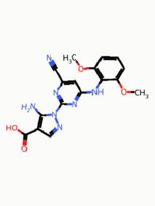 COc1cccc(OC)c1Nc1cc(C#N)nc(-n2ncc(C(=O)O)c2N)n1